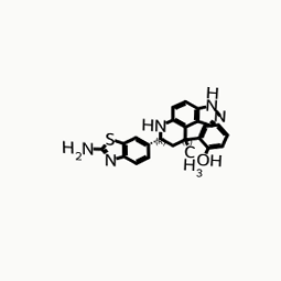 C[C@@]1(c2ccccc2O)C[C@H](c2ccc3nc(N)sc3c2)Nc2ccc3[nH]ncc3c21